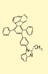 CCc1nc2ccccc2n1-c1ccc(-c2cc(-c3ccccc3)c3c(c2-c2ccccc2)-c2cccc4cccc-3c24)cc1